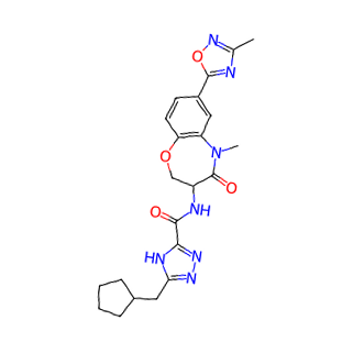 Cc1noc(-c2ccc3c(c2)N(C)C(=O)C(NC(=O)c2nnc(CC4CCCC4)[nH]2)CO3)n1